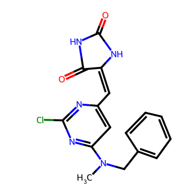 CN(Cc1ccccc1)c1cc(/C=C2/NC(=O)NC2=O)nc(Cl)n1